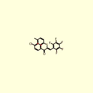 Cc1ccc(SC(=Cc2c(F)c(F)c(F)c(F)c2F)C(=O)c2ccc(Cl)cc2)cc1